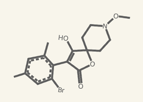 CON1CCC2(CC1)OC(=O)C(c1c(C)cc(C)cc1Br)=C2O